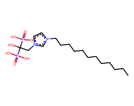 CCCCCCCCCCCC[n+]1ccn(CC(O)(P(=O)(O)O)P(=O)(O)O)c1